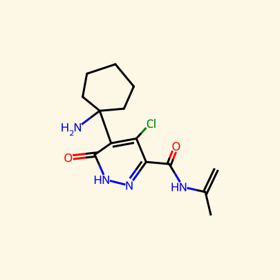 C=C(C)NC(=O)c1n[nH]c(=O)c(C2(N)CCCCC2)c1Cl